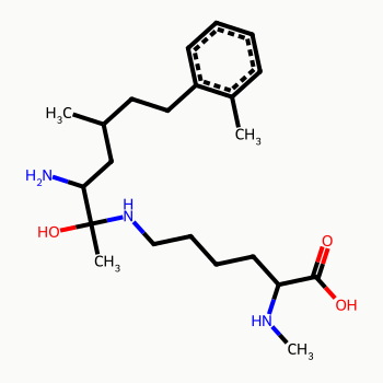 CNC(CCCCNC(C)(O)C(N)CC(C)CCc1ccccc1C)C(=O)O